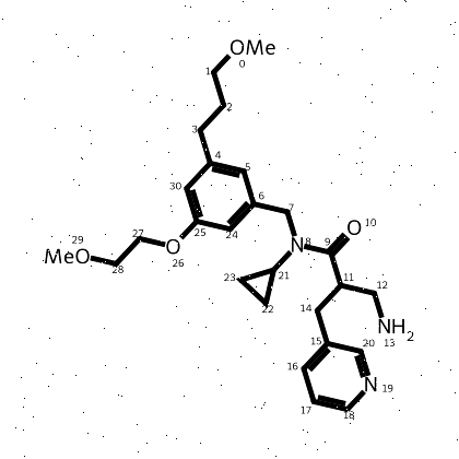 COCCCc1cc(CN(C(=O)C(CN)Cc2cccnc2)C2CC2)cc(OCCOC)c1